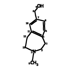 CN1CCc2ccc(CO)cc2CC1